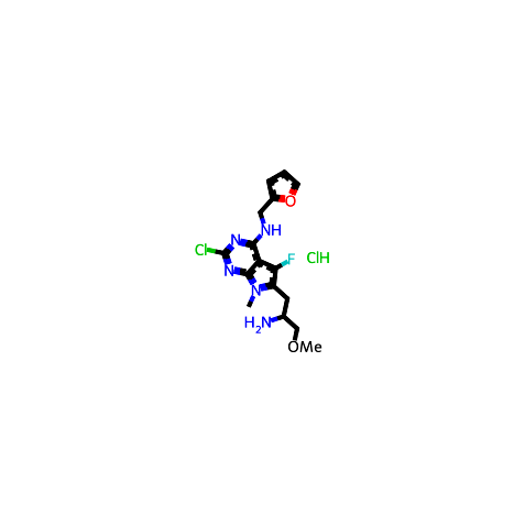 COCC(N)Cc1c(F)c2c(NCc3ccco3)nc(Cl)nc2n1C.Cl